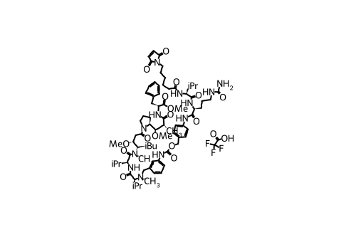 CC[C@H](C)[C@@H]([C@@H](CC(=O)N1CCC[C@H]1[C@H](OC)[C@@H](C)C(=O)N[C@@H](Cc1ccccc1)C(=O)OC)OC)N(C)C(=O)[C@@H](NC(=O)[C@H](C(C)C)N(C)Cc1cccc(NC(=O)OCc2ccc(NC(=O)[C@H](CCCNC(N)=O)NC(=O)[C@@H](NC(=O)CCCCCN3C(=O)C=CC3=O)C(C)C)cc2)c1)C(C)C.O=C(O)C(F)(F)F